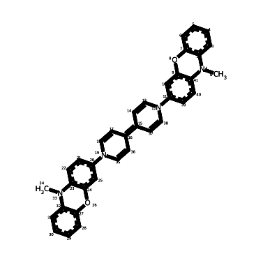 CN1c2ccccc2Oc2cc(N3C=CC(=C4C=CN(c5ccc6c(c5)Oc5ccccc5N6C)C=C4)C=C3)ccc21